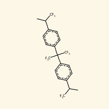 CC(c1ccc(C(c2ccc(C(C)C(F)(F)F)cc2)(C(F)(F)F)C(F)(F)F)cc1)C(F)(F)F